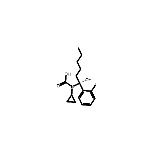 CCCCC[C@@](O)(c1ccccc1I)N(C(=O)O)C1CC1